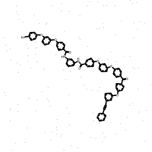 CC(=O)c1ccc(Oc2cccc(Oc3ccc(C(=O)Nc4cccc(NC(=O)c5ccc(Oc6cccc(Oc7ccc(C(=O)c8ccc(Oc9cccc(C#Cc%10ccccc%10)c9)cc8)cc7)c6)cc5)c4)cc3)c2)cc1